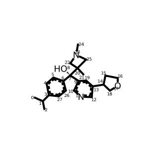 CC(C)c1ccc([C@](O)(c2cncc(C3CCOC3)c2)C2(C)CN(C)C2)cc1